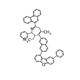 CCC1C(c2ccc3ccc(-c4cccc5oc6ccc(-c7ccccc7)cc6c45)cc3c2)=C(C)CC(c2cc3ccccc3c3ccccc23)=NC1c1ccccc1